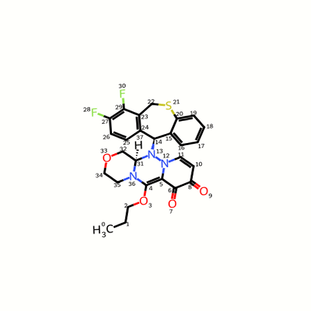 CCCOC1=C2C(=O)C(=O)C=CN2N([C@@H]2c3ccccc3SCc3c2ccc(F)c3F)[C@@H]2COCCN12